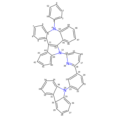 c1ccc(N2c3ccccc3-c3c(n(-c4cccc(-c5cccc(-n6c7ccccc7c7ccccc76)c5)n4)c4ccccc34)-c3ccccc32)cc1